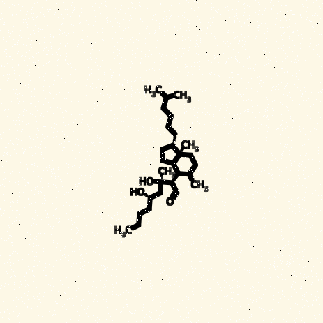 CCCC[C@H](O)C[C@@](C)(O)[C@H](C=O)C1C(C)CC[C@@]2(C)C1CC[C@@H]2CCCCC(C)C